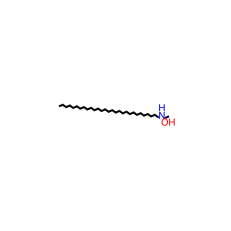 CCCCCCCCCCCCCCCCCCCCCCCCCCCCCNC(C)O